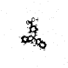 O=C(O)c1ccc(CC2(C3=Cc4ccccc4C3)Cc3ccccc3C2)cc1